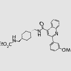 CCOC(=O)NC[C@H]1CC[C@H](CNC(=O)c2cc(-c3cccc(OC)c3)nc3ccccc23)CC1